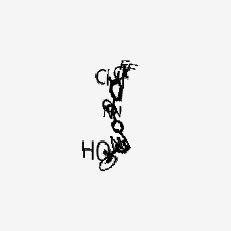 O=C(O)c1ccn(Cc2ccc(-c3noc(-c4ccc(OC(F)(F)F)c(Cl)c4)n3)cc2)n1